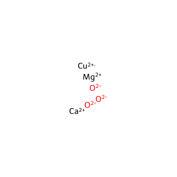 [Ca+2].[Cu+2].[Mg+2].[O-2].[O-2].[O-2]